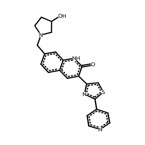 O=c1[nH]c2cc(CN3CCC(O)C3)ccc2cc1-c1csc(-c2ccncc2)n1